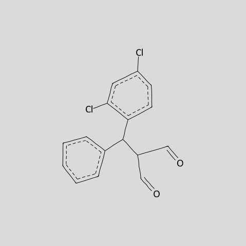 O=CC(C=O)C(c1ccccc1)c1ccc(Cl)cc1Cl